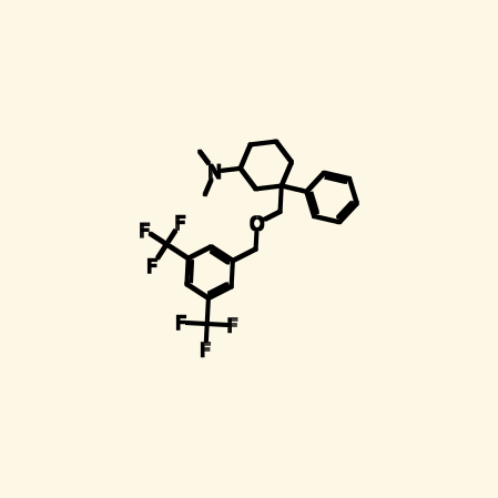 CN(C)C1CCCC(COCc2cc(C(F)(F)F)cc(C(F)(F)F)c2)(c2ccccc2)C1